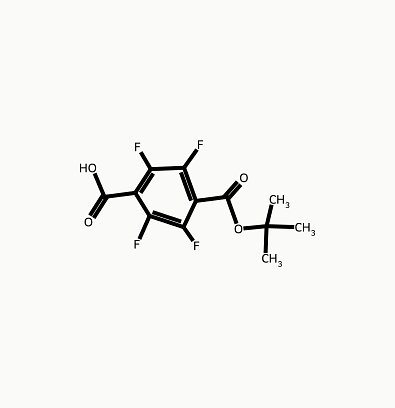 CC(C)(C)OC(=O)c1c(F)c(F)c(C(=O)O)c(F)c1F